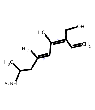 C=C/C(CO)=C(O)\C=C(/C)CC(C)NC(C)=O